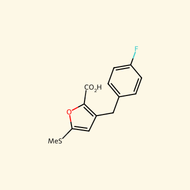 CSc1cc(Cc2ccc(F)cc2)c(C(=O)O)o1